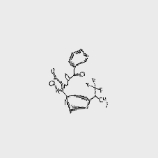 CC(c1ccnc(-c2noc(=O)n2COC(=O)c2ccccc2)c1)C(F)(F)F